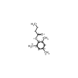 CCCC(=O)Oc1c(C)cc(C)cc1C